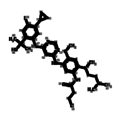 COc1cc(N(C)CCN(C)C)c(NC(=O)CCCl)cc1Nc1ncnc(Nc2cc(C3CC3)c(F)cc2C(C)(C)O)n1